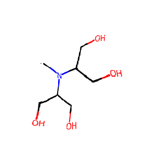 [CH2]N(C(CO)CO)C(CO)CO